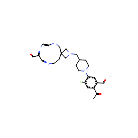 CC(=O)c1cc(F)c(N2CCC(CN3CC4(CC\N=C/C(C=O)=N\C=C\NC4)C3)CC2)cc1C=O